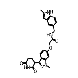 Cc1cc2cc(CNC(=O)COc3ccc4c(C5CCC(=O)NC5=O)nn(C)c4c3)ccc2[nH]1